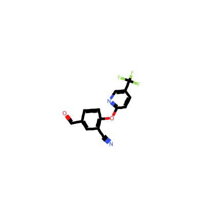 N#Cc1cc(C=O)ccc1Oc1ccc(C(F)(F)F)cn1